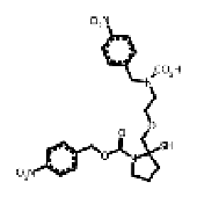 O=C(O)N(CCOCC1(S)CCCN1C(=O)OCc1ccc([N+](=O)[O-])cc1)Cc1ccc([N+](=O)[O-])cc1